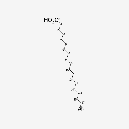 O=C(O)CCCCCCCCCCCCCCCC[CH2][Al]